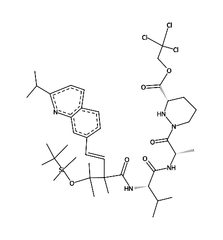 CC(C)c1ccc2ccc(/C=C/C(C)(C(=O)N[C@H](C(=O)N[C@@H](C)C(=O)N3CCC[C@@H](C(=O)OCC(Cl)(Cl)Cl)N3)C(C)C)C(C)(C)O[Si](C)(C)C(C)(C)C)cc2n1